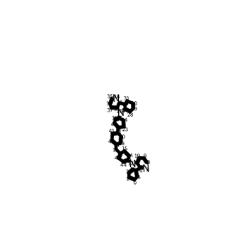 c1ccc2c(c1)c1ncccc1n2-c1ccc(Cc2ccc(-c3ccc(-n4c5ccccc5c5ncccc54)cc3)cc2)cc1